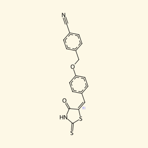 N#Cc1ccc(COc2ccc(/C=C3/SC(=S)NC3=O)cc2)cc1